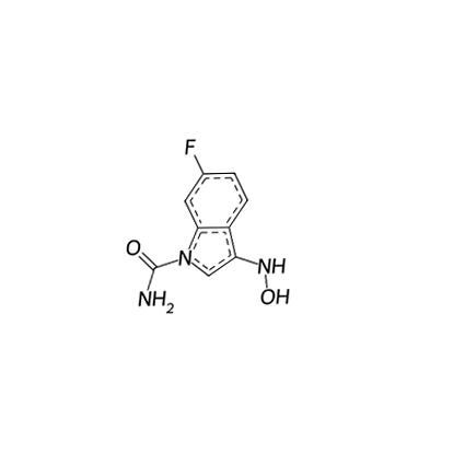 NC(=O)n1cc(NO)c2ccc(F)cc21